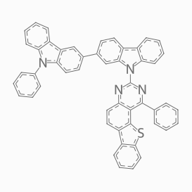 c1ccc(-c2nc(-n3c4ccccc4c4ccc(-c5ccc6c(c5)c5ccccc5n6-c5ccccc5)cc43)nc3ccc4c5ccccc5sc4c23)cc1